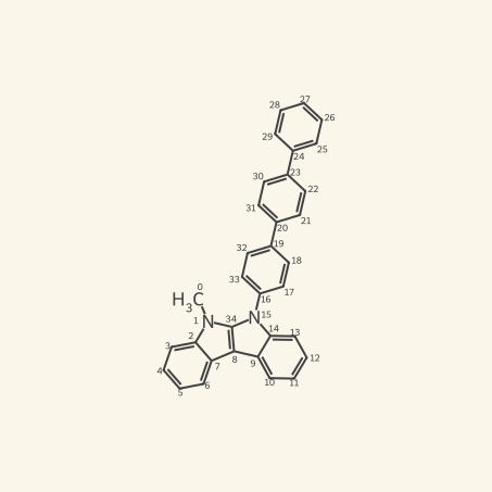 Cn1c2ccccc2c2c3ccccc3n(-c3ccc(-c4ccc(-c5ccccc5)cc4)cc3)c21